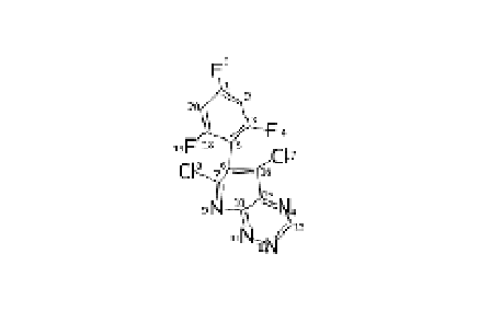 Fc1cc(F)c(-c2c(Cl)nc3nncnc3c2Cl)c(F)c1